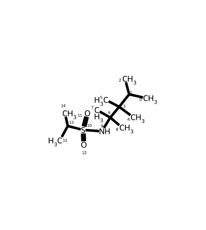 CC(C)C(C)(C)C(C)(C)NS(=O)(=O)C(C)C